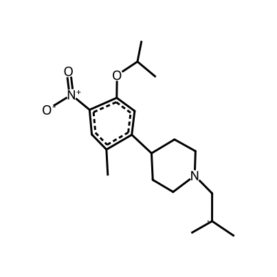 C[C](C)CN1CCC(c2cc(OC(C)C)c([N+](=O)[O-])cc2C)CC1